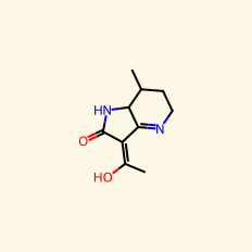 C/C(O)=C1/C(=O)NC2C1=NCCC2C